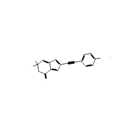 CC1(C)C=C2C=C(C#Cc3ccc(C(=O)O)cc3)C=C2C(=O)C1